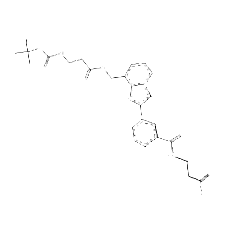 CC(C)(C)OC(=O)NCCC(=O)NCc1cccn2cc(-c3cccc(C(=O)NCCC(=O)O)c3)nc12